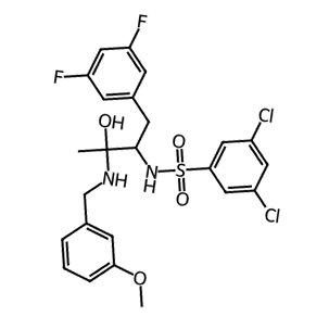 COc1cccc(CNC(C)(O)C(Cc2cc(F)cc(F)c2)NS(=O)(=O)c2cc(Cl)cc(Cl)c2)c1